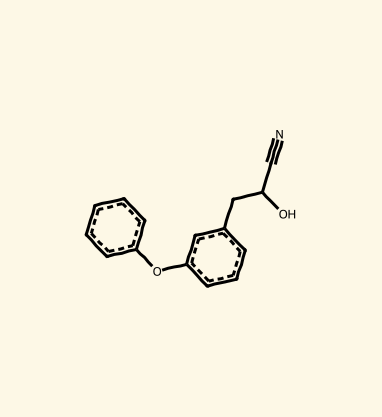 N#CC(O)Cc1cccc(Oc2ccccc2)c1